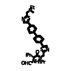 CCCN(Cc1ncc(-c2ccc(-c3ccc(-c4cnc(CN(C)CC)s4)cc3)cc2)s1)C(=O)[C@@H](NC=O)C(C)C